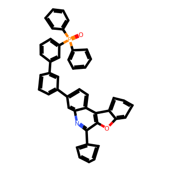 O=P(c1ccccc1)(c1ccccc1)c1cccc(-c2cccc(-c3ccc4c(c3)nc(-c3ccccc3)c3oc5ccccc5c34)c2)c1